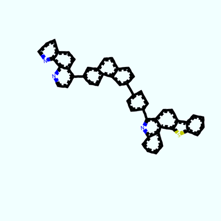 c1cnc2c(c1)ccc1c(-c3ccc4c(ccc5ccc(-c6ccc(-c7nc8ccccc8c8c7ccc7c9ccccc9sc78)cc6)cc54)c3)ccnc12